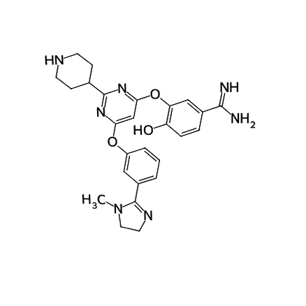 CN1CCN=C1c1cccc(Oc2cc(Oc3cc(C(=N)N)ccc3O)nc(C3CCNCC3)n2)c1